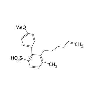 C=CCCCCc1c(C)ccc(S(=O)(=O)O)c1-c1ccc(OC)cc1